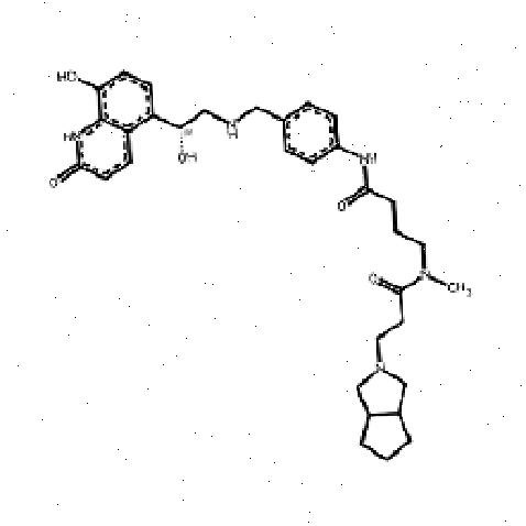 CN(CCCC(=O)Nc1ccc(CNC[C@H](O)c2ccc(O)c3[nH]c(=O)ccc23)cc1)C(=O)CCN1CC2CCCC2C1